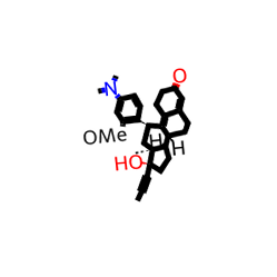 CC#C[C@]1(O)CC[C@H]2[C@@H]3CCC4=CC(=O)CCC4=C3[C@@H](c3ccc(N(C)C)cc3OC)C[C@@]21C